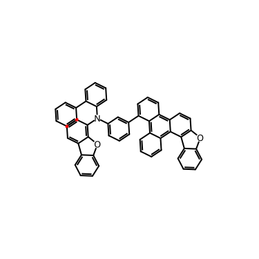 c1ccc(-c2ccccc2N(c2cccc(-c3cccc4c5ccc6oc7ccccc7c6c5c5ccccc5c34)c2)c2cccc3c2oc2ccccc23)cc1